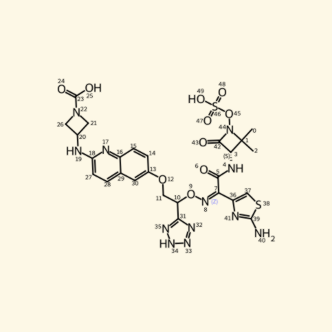 CC1(C)[C@H](NC(=O)/C(=N\OC(COc2ccc3nc(NC4CN(C(=O)O)C4)ccc3c2)c2nn[nH]n2)c2csc(N)n2)C(=O)N1OS(=O)(=O)O